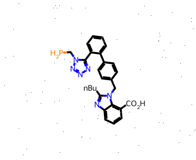 CCCCc1nc2cccc(C(=O)O)c2n1Cc1ccc(-c2ccccc2-c2nnnn2CP)cc1